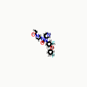 C=CC(=O)N1CCC(n2c(=O)n(-c3ccc(Oc4cccc(F)c4)c(F)c3)c3cnccc32)C1